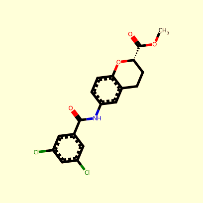 COC(=O)[C@@H]1CCc2cc(NC(=O)c3cc(Cl)cc(Cl)c3)ccc2O1